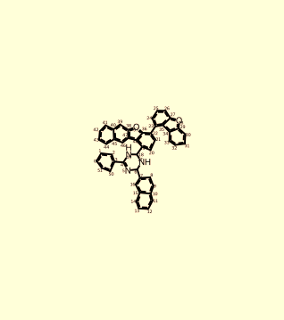 c1ccc(C2=NC(c3ccc4ccccc4c3)NC(c3ccc(-c4cccc5oc6ccccc6c45)c4oc5cc6ccccc6cc5c34)N2)cc1